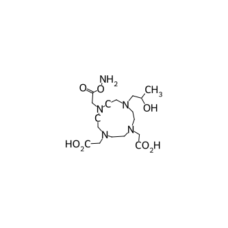 CC(O)CN1CCN(CC(=O)O)CCN(CC(=O)O)CCN(CC(=O)ON)CC1